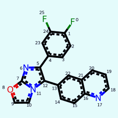 Fc1ccc(-c2nc3occn3c2-c2ccc3ncccc3c2)cc1F